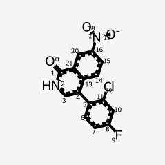 O=c1[nH]cc(-c2ccc(F)cc2Cl)c2ccc([N+](=O)[O-])cc12